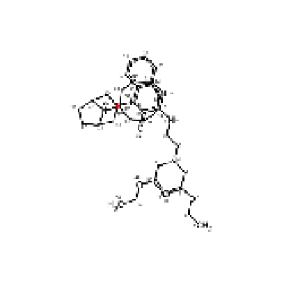 CCOC(=O)CN(CCNc1nc2ccccc2n(C2CC3CCC(C2)N3C2CCCCCCC2)c1=O)CC(=O)OCC